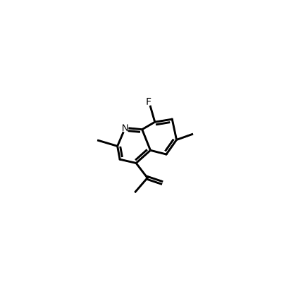 C=C(C)c1cc(C)nc2c(F)cc(C)cc12